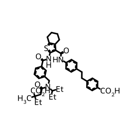 CCC(CC)N(Cc1cccc(C(=O)Nc2sc3c(c2C(=O)Nc2ccc(CCc4ccc(C(=O)O)cc4)cc2)CCCC3)c1)C(=O)CC(C)(CC)C(=O)O